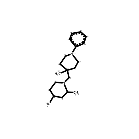 CC1CC(O)CCN1CC1(C)CCN(c2ccccc2)CC1